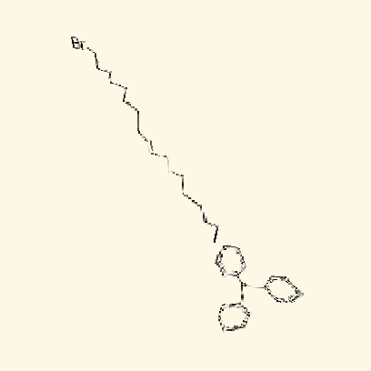 CCCCCCCC/C=C/CCCCCCCCBr.c1ccc(P(c2ccccc2)c2ccccc2)cc1